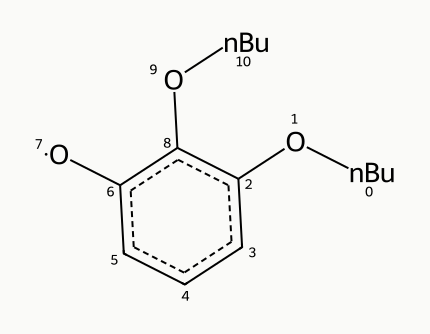 CCCCOc1cccc([O])c1OCCCC